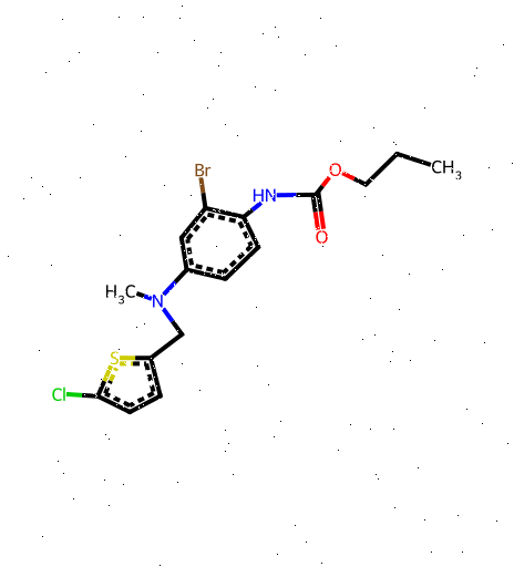 CCCOC(=O)Nc1ccc(N(C)Cc2ccc(Cl)s2)cc1Br